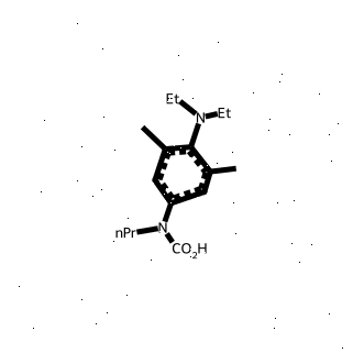 CCCN(C(=O)O)c1cc(C)c(N(CC)CC)c(C)c1